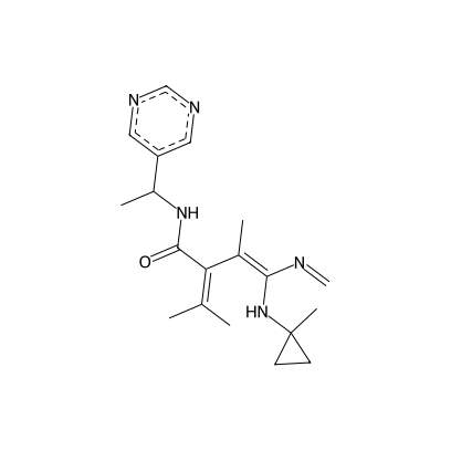 C=N/C(NC1(C)CC1)=C(\C)C(C(=O)NC(C)c1cncnc1)=C(C)C